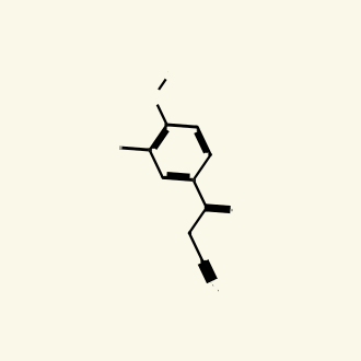 COc1ccc(C(=O)CC#N)cc1I